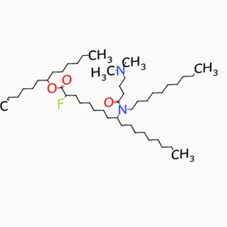 C=CCCCCC(CCCCCC)OC(=O)C(F)CCCCCCC(CCCCCCCCC)N(CCCCCCCCCC)C(=O)CCCN(C)C